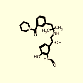 CC(C)(Cc1cccc(C(=O)N2CCCCC2)c1)NC[C@H](O)c1ccc(O)c(NC=O)c1